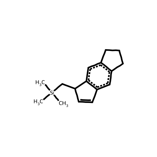 C[Si](C)(C)C[C]1C=Cc2cc3c(cc21)CCC3